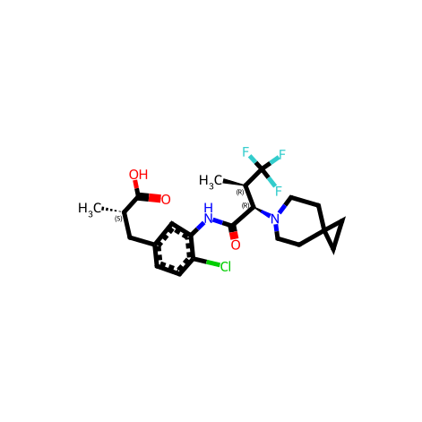 C[C@H]([C@H](C(=O)Nc1cc(C[C@H](C)C(=O)O)ccc1Cl)N1CCC2(CC1)CC2)C(F)(F)F